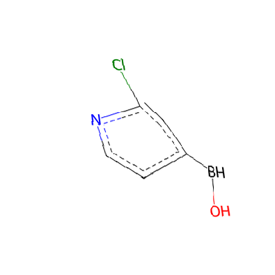 OBc1ccnc(Cl)c1